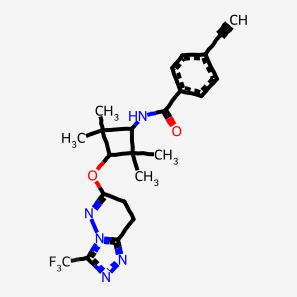 C#Cc1ccc(C(=O)NC2C(C)(C)C(OC3=Nn4c(nnc4C(F)(F)F)CC3)C2(C)C)cc1